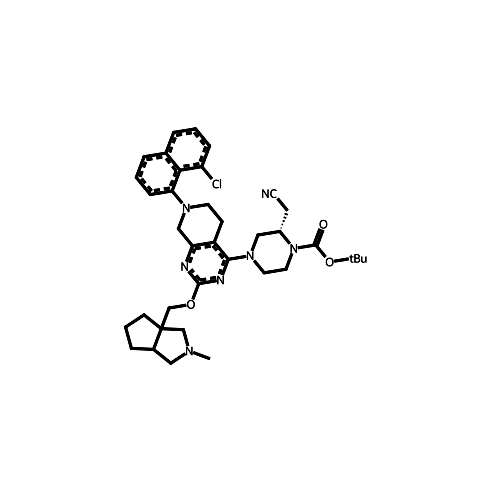 CN1CC2CCCC2(COc2nc3c(c(N4CCN(C(=O)OC(C)(C)C)[C@@H](CC#N)C4)n2)CCN(c2cccc4cccc(Cl)c24)C3)C1